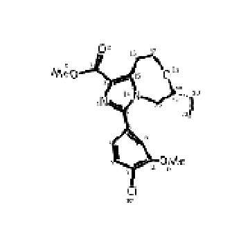 COC(=O)c1nc(-c2ccc(Cl)c(OC)c2)n2c1CCO[C@H](CF)C2